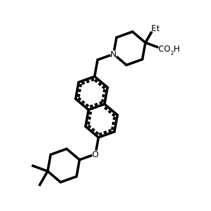 CCC1(C(=O)O)CCN(Cc2ccc3cc(OC4CCC(C)(C)CC4)ccc3c2)CC1